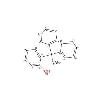 CNC(c1ccccc1)(c1ccccc1)c1ccccc1O